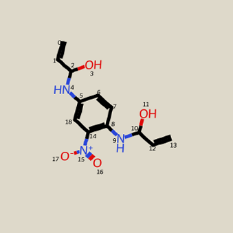 C=CC(O)Nc1ccc(NC(O)C=C)c([N+](=O)[O-])c1